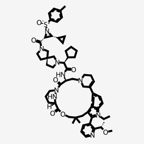 CCn1c(-c2cccnc2[C@H](C)OC)c2c3cc(ccc31)C1=CCCN(C1)C[C@H](NC(=O)[C@H](C1CCCC1)N1CC[C@]3(CCN(C(=O)[C@H]4[C@@H](C5CC5)N4[S@+]([O-])c4ccc(C)cc4)C3)C1)C(=O)N1CCC[C@H](N1)C(=O)OCC(C)(C)C2